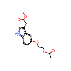 COC(=O)Cc1c[nH]c2ccc(OCCOC(C)=O)cc12